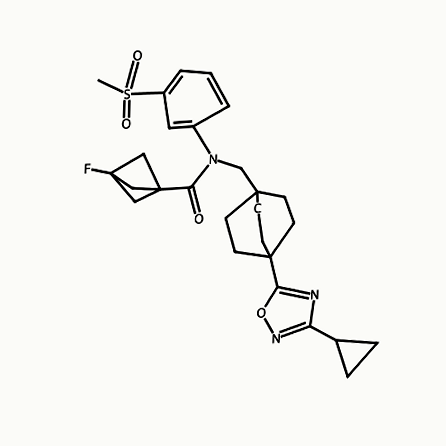 CS(=O)(=O)c1cccc(N(CC23CCC(c4nc(C5CC5)no4)(CC2)CC3)C(=O)C23CC(F)(C2)C3)c1